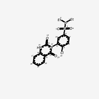 CCN(CC)S(=O)(=O)c1ccc(Cl)c(-n2c(=O)[nH]c3ccccc3c2=O)c1